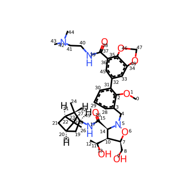 COc1c(CN2O[C@@H](CO)[C@@H]([C@H](C)O)[C@H]2C(=O)N[C@H]2C[C@H]3C[C@@H]([C@@H]2C)C3(C)C)cccc1-c1cc2c(c(C(=O)NCCN(C)C)c1)OCO2